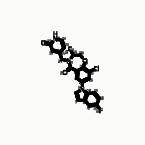 O=C1c2cc(-n3ccc4cc(F)ccc43)cc(Cl)c2OCC(C(F)(F)F)N1Cc1cc[nH]c(=O)c1